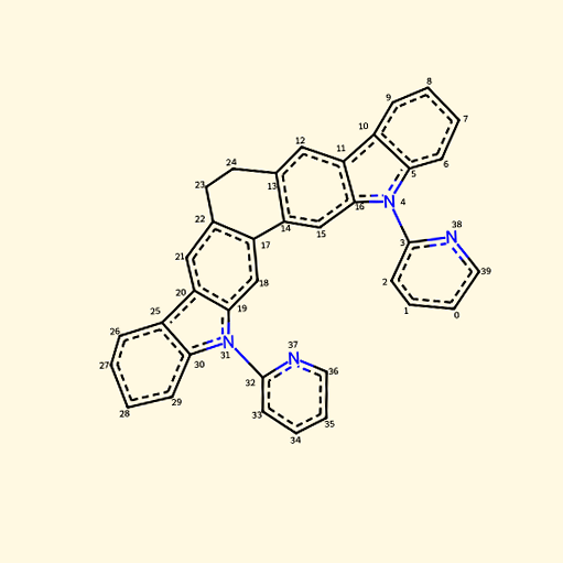 c1ccc(-n2c3ccccc3c3cc4c(cc32)-c2cc3c(cc2CC4)c2ccccc2n3-c2ccccn2)nc1